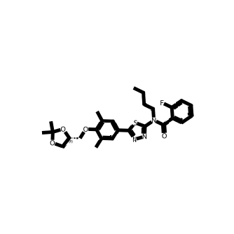 CCCCN(C(=O)c1ccccc1F)c1nnc(-c2cc(C)c(OC[C@@H]3COC(C)(C)O3)c(C)c2)s1